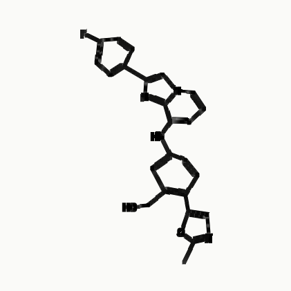 Cc1ncc(-c2ccc(Nc3cccn4cc(-c5ccc(F)cc5)nc34)cc2CO)o1